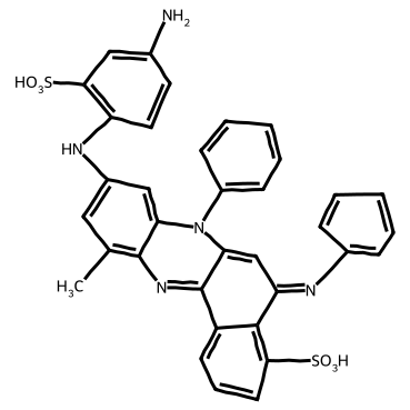 Cc1cc(Nc2ccc(N)cc2S(=O)(=O)O)cc2c1nc1c3cccc(S(=O)(=O)O)c3/c(=N/c3ccccc3)cc-1n2-c1ccccc1